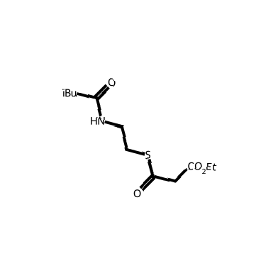 CCOC(=O)CC(=O)SCCNC(=O)C(C)CC